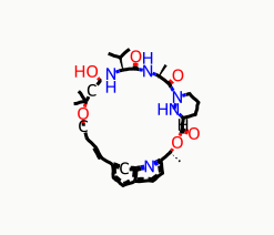 CC(C)[C@@H]1NC(O)CC(C)(C)OCC/C=C/c2ccc3ccc(nc3c2)[C@@H](C)OC(=O)[C@@H]2CCCN(N2)C(=O)[C@H](C)NC1=O